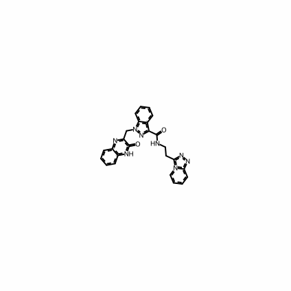 O=C(NCCc1nnc2ccccn12)c1nn(Cc2nc3ccccc3[nH]c2=O)c2ccccc12